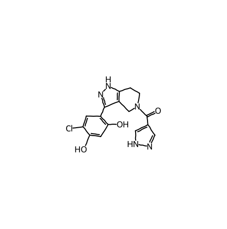 O=C(c1cn[nH]c1)N1CCc2[nH]nc(-c3cc(Cl)c(O)cc3O)c2C1